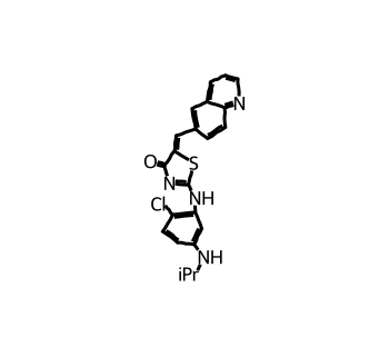 CC(C)Nc1ccc(Cl)c(NC2=NC(=O)/C(=C/c3ccc4ncccc4c3)S2)c1